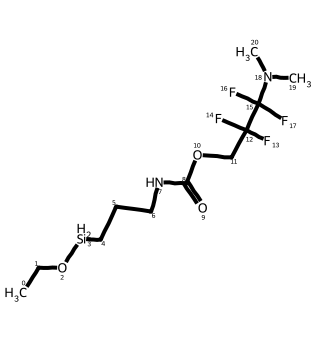 CCO[SiH2]CCCNC(=O)OCC(F)(F)C(F)(F)N(C)C